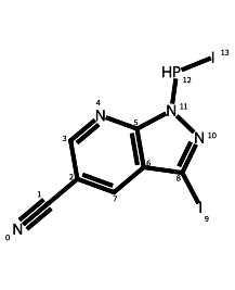 N#Cc1cnc2c(c1)c(I)nn2PI